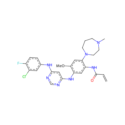 C=CC(=O)Nc1cc(Nc2cc(Nc3ccc(F)c(Cl)c3)ncn2)c(OC)cc1N1CCCN(C)CC1